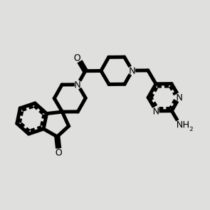 Nc1ncc(CN2CCC(C(=O)N3CCC4(CC3)CC(=O)c3ccccc34)CC2)cn1